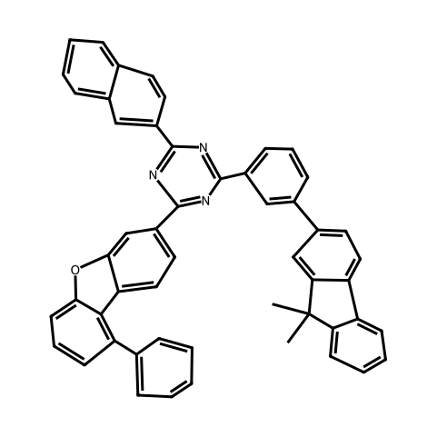 CC1(C)c2ccccc2-c2ccc(-c3cccc(-c4nc(-c5ccc6ccccc6c5)nc(-c5ccc6c(c5)oc5cccc(-c7ccccc7)c56)n4)c3)cc21